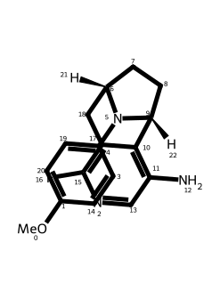 COc1ccc(N2[C@H]3CC[C@@H]2c2c(N)cnc(F)c2C3)cc1